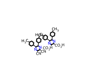 Cc1ccc(-c2nc(C#N)c(C#N)nc2-c2ccc(C)cc2)cc1.Cc1ccc(-c2nc(C(=O)O)c(C(=O)O)nc2-c2ccc(C)cc2)cc1